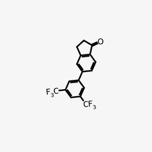 O=C1CCc2cc(-c3cc(C(F)(F)F)cc(C(F)(F)F)c3)ccc21